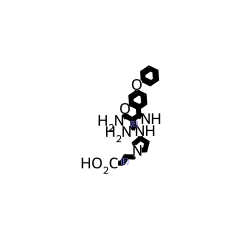 N=C(/C(C(N)=O)=C(/N)NC1CCN(C/C=C/C(=O)O)C1)c1ccc(Oc2ccccc2)cc1